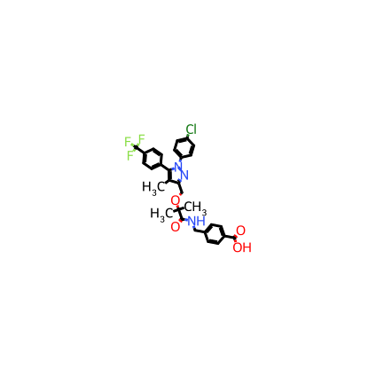 Cc1c(COC(C)(C)C(=O)NCc2ccc(C(=O)O)cc2)nn(-c2ccc(Cl)cc2)c1-c1ccc(C(F)(F)F)cc1